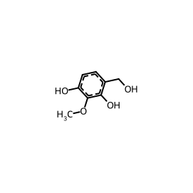 COc1c(O)ccc(CO)c1O